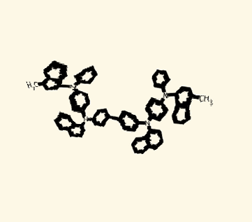 Cc1ccc(N(c2ccccc2)c2ccc(N(c3ccc(-c4ccc(N(c5ccc(N(c6ccccc6)c6ccc(C)c7ccccc67)cc5)c5cccc6ccccc56)cc4)cc3)c3cccc4ccccc34)cc2)c2ccccc12